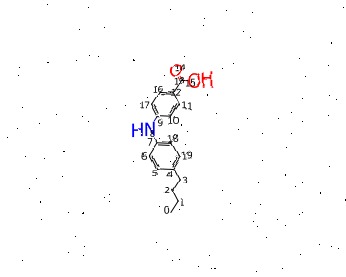 CCCCc1ccc(Nc2ccc(C(=O)O)cc2)cc1